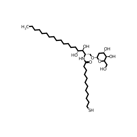 CCCCCCCCCCCCCC[C@@H](O)[C@@H](O)[C@H](CO[C@@H]1C[C@H](O)[C@@H](O)C(CO)O1)NC(=O)CCCCCCCCCCCS